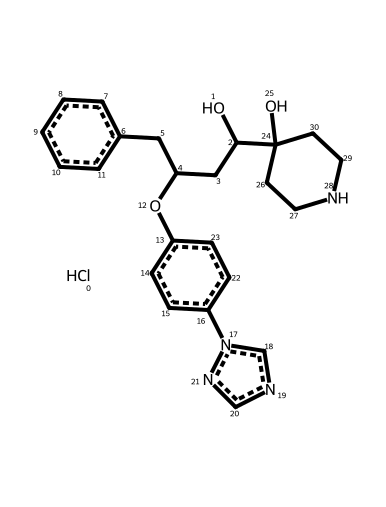 Cl.OC(CC(Cc1ccccc1)Oc1ccc(-n2cncn2)cc1)C1(O)CCNCC1